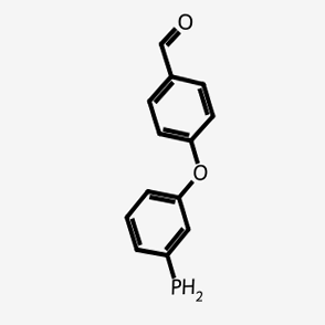 O=Cc1ccc(Oc2cccc(P)c2)cc1